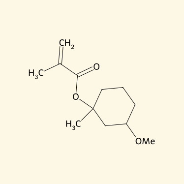 C=C(C)C(=O)OC1(C)CCCC(OC)C1